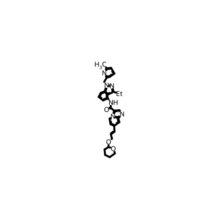 CCc1nn(Cc2cccc(C)n2)c2cccc(NC(=O)c3cnc4cc(C=CCOC5CCCCO5)ccn34)c12